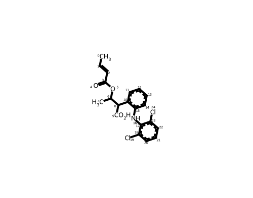 C/C=C/C(=O)OC(C)C(C(=O)O)c1ccccc1Nc1c(Cl)cccc1Cl